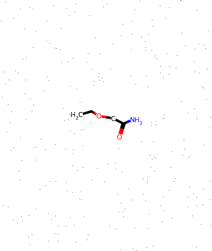 [CH2]COCC(N)=O